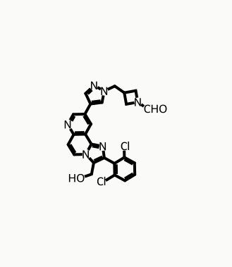 O=CN1CC(Cn2cc(-c3cnc4ccn5c(CO)c(-c6c(Cl)cccc6Cl)nc5c4c3)cn2)C1